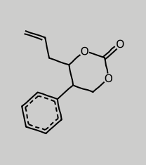 C=CCC1OC(=O)OCC1c1ccccc1